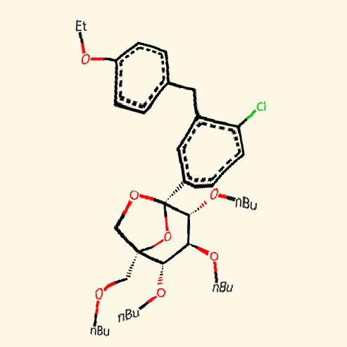 CCCCOC[C@]12CO[C@](c3ccc(Cl)c(Cc4ccc(OCC)cc4)c3)(O1)[C@H](OCCCC)[C@@H](OCCCC)[C@@H]2OCCCC